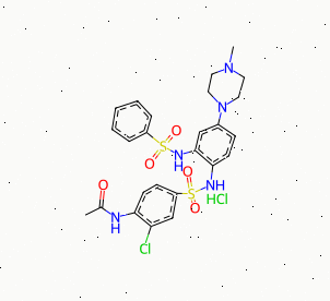 CC(=O)Nc1ccc(S(=O)(=O)Nc2ccc(N3CCN(C)CC3)cc2NS(=O)(=O)c2ccccc2)cc1Cl.Cl